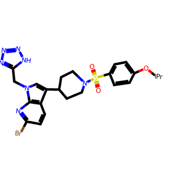 CC(C)Oc1ccc(S(=O)(=O)N2CCC(c3cn(Cc4nnn[nH]4)c4nc(Br)ccc34)CC2)cc1